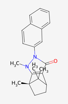 Cn1c2c(c(=O)n1-c1ccc3ccccc3c1)C1CC[C@@]2(C)C1(C)C